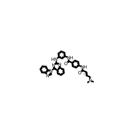 CN(C)C/C=C/C(=O)Nc1ccc(C(=O)Nc2cccc(Nc3nc(-n4cnc5ccccc54)c4ccccc4n3)c2)cc1